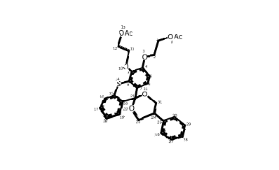 CC(=O)OCCOc1ccc2c(c1OCCOC(C)=O)Sc1ccccc1C21OCC(c2ccccc2)CO1